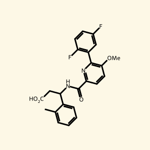 COc1ccc(C(=O)NC(CC(=O)O)c2ccccc2C)nc1-c1cc(F)ccc1F